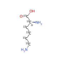 N[13CH2][13CH2][13CH2][13CH2][13C@H](N)[13C](=O)O